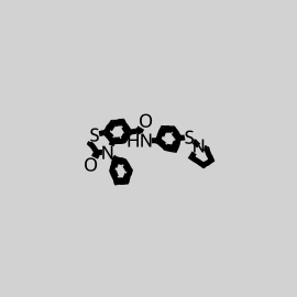 O=C(Nc1ccc(SN2CCCC2)cc1)c1ccc2c(c1)N(c1ccccc1)C(=O)CS2